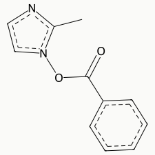 Cc1nccn1OC(=O)c1ccccc1